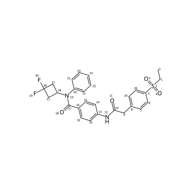 CCS(=O)(=O)c1ccc(CC(=O)Nc2ccc(C(=O)N(c3ccccc3)C3CC(F)(F)C3)cc2)cc1